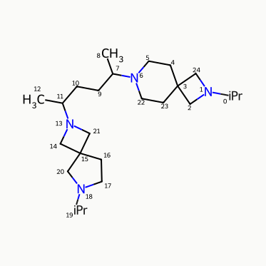 CC(C)N1CC2(CCN(C(C)CCC(C)N3CC4(CCN(C(C)C)C4)C3)CC2)C1